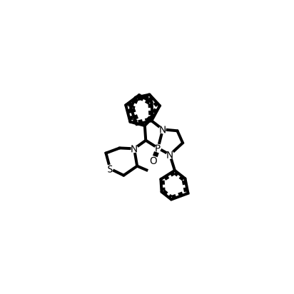 CC1CSCCN1C(c1ccccc1)P1(=O)N(c2ccccc2)CCN1c1ccccc1